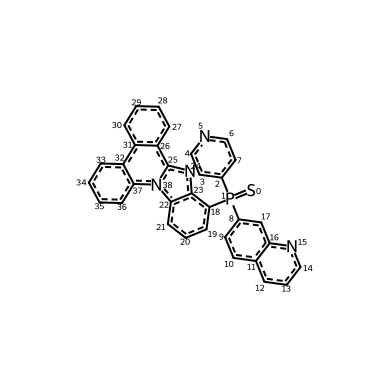 S=P(c1ccncc1)(c1ccc2cccnc2c1)c1cccc2c1nc1c3ccccc3c3ccccc3n21